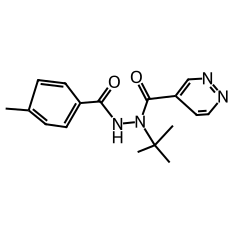 Cc1ccc(C(=O)NN(C(=O)c2ccnnc2)C(C)(C)C)cc1